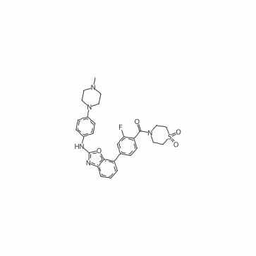 CN1CCN(c2ccc(Nc3nc4cccc(-c5ccc(C(=O)N6CCS(=O)(=O)CC6)c(F)c5)c4o3)cc2)CC1